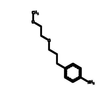 COCCOCCCc1ccc(N)cc1